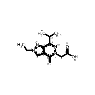 CCn1cc2c(=O)n(CC(=O)O)nc(C(C)C)c2n1